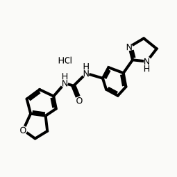 Cl.O=C(Nc1cccc(C2=NCCN2)c1)Nc1ccc2c(c1)CCO2